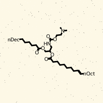 CCCCCCCCC=CCCCCCCCC(=O)OC(CNC(=O)OCCN(C)C)COC(=O)CCCCCCCCCCCCCCC